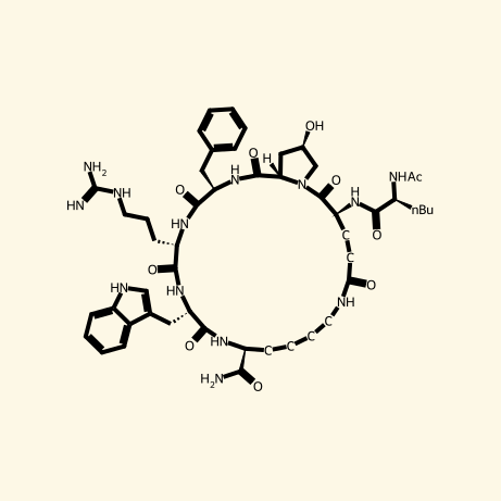 CCCC[C@H](NC(C)=O)C(=O)N[C@H]1CCC(=O)NCCCC[C@@H](C(N)=O)NC(=O)[C@H](Cc2c[nH]c3ccccc23)NC(=O)[C@H](CCCNC(=N)N)NC(=O)[C@@H](Cc2ccccc2)NC(=O)[C@@H]2C[C@@H](O)CN2C1=O